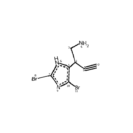 C#CC(CN)c1[nH]c(Br)nc1Br